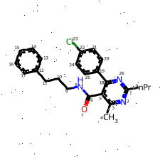 CCCc1nc(C)c(C(=O)NCCCc2ccccc2)c(-c2ccc(Cl)cc2)n1